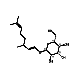 CC(C)=CCCC(C)C=CO[C@H]1O[C@H](CO)[C@@H](O)[C@H](O)[C@H]1O